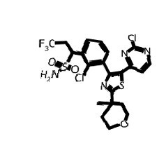 CC1(c2nc(-c3cccc(C(CC(F)(F)F)S(N)(=O)=O)c3Cl)c(-c3ccnc(Cl)n3)s2)CCOCC1